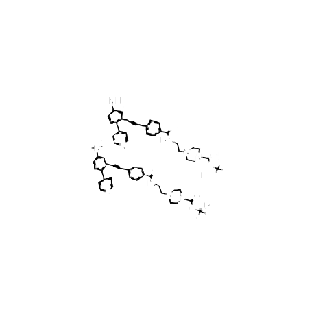 CC(C)(C)OC(=O)N1CCN(CCNC(=O)c2ccc(C#Cc3cc(N)ccc3-c3ccncc3)cc2)CC1.CC(C)(C)OC(=O)N1CCN(CCNC(=O)c2ccc(C#Cc3cc([N+](=O)[O-])ccc3-c3ccncc3)cc2)CC1